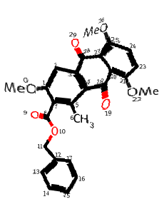 COc1cc2c(c(C)c1C(=O)OCc1ccccc1)C(=O)c1c(OC)ccc(OC)c1C2=O